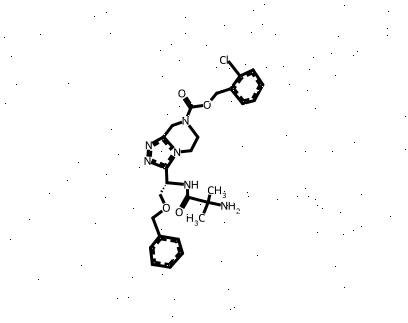 CC(C)(N)C(=O)N[C@H](COCc1ccccc1)c1nnc2n1CCN(C(=O)OCc1ccccc1Cl)C2